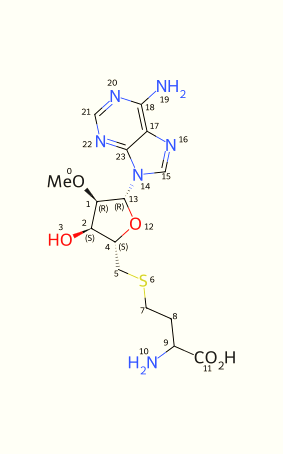 CO[C@@H]1[C@H](O)[C@@H](CSCCC(N)C(=O)O)O[C@H]1n1cnc2c(N)ncnc21